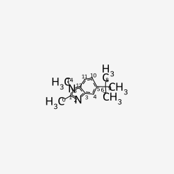 Cc1nc2cc(C(C)(C)C)ccc2n1C